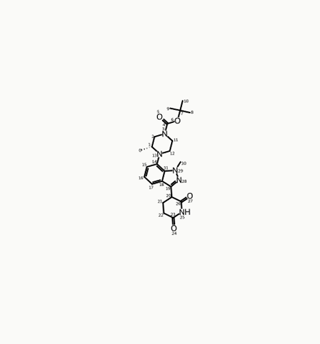 C[C@@H]1CN(C(=O)OC(C)(C)C)CCN1c1cccc2c(C3CCC(=O)NC3=O)nn(C)c12